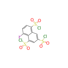 O=S(=O)(Cl)c1cc(S(=O)(=O)Cl)c2c(I)ccc(S(=O)(=O)Cl)c2c1